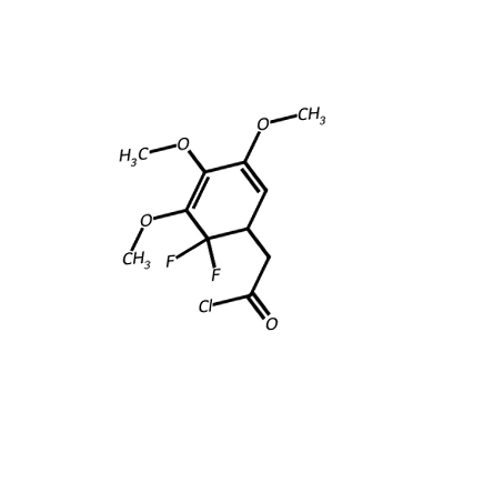 COC1=CC(CC(=O)Cl)C(F)(F)C(OC)=C1OC